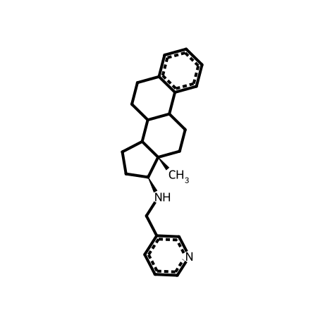 C[C@]12CCC3c4ccccc4CCC3C1CC[C@@H]2NCc1cccnc1